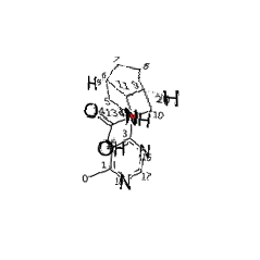 Cc1cc(N2C[C@H]3CC[C@@H](C2)C3NC(=O)O)ncn1